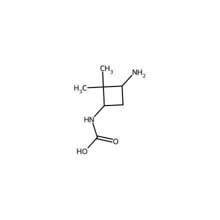 CC1(C)C(N)CC1NC(=O)O